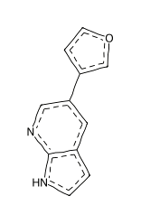 c1cc2cc(-c3ccoc3)cnc2[nH]1